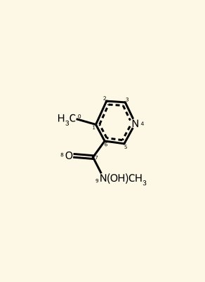 Cc1ccncc1C(=O)N(C)O